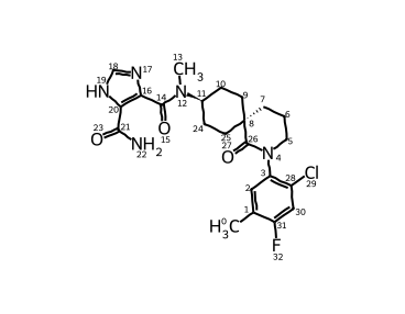 Cc1cc(N2CCC[C@]3(CC[C@H](N(C)C(=O)c4nc[nH]c4C(N)=O)CC3)C2=O)c(Cl)cc1F